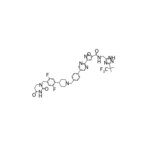 CC(C)(c1n[nH]c(CNC(=O)c2cc(-c3ncc(-c4ccc(CN5CCC(c6cc(F)c(CN7CCC(=O)NC7=O)cc6F)CC5)cc4)cn3)no2)n1)C(F)(F)F